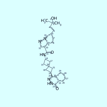 CC(C)(O)/C=C/c1ccc2c(C(=O)N[C@H]3CC4(C3)C[C@H](c3n[nH]c(=O)c5ccccc53)C4)cnn2c1